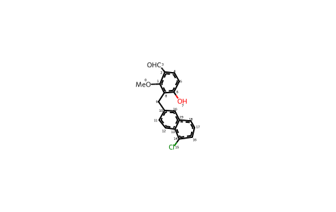 COc1c(C=O)ccc(O)c1Cc1ccc2c(Cl)cccc2c1